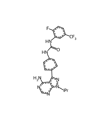 CC(C)n1nc(-c2ccc(NC(=O)Nc3cc(C(F)(F)F)ccc3F)cc2)c2c(N)ncnc21